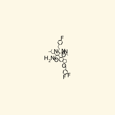 Cc1nnc(-c2c(CCc3ccc(F)cc3)nc(CC(C)C)c(C(N)=O)c2-c2ccc3c(c2)CCC3OCc2ccc(F)c(F)c2)o1